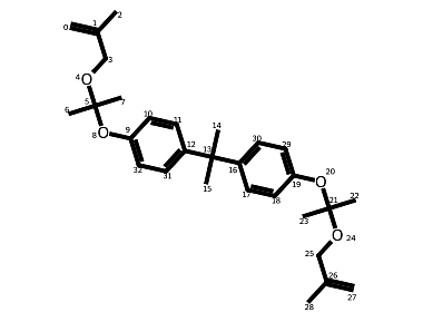 C=C(C)COC(C)(C)Oc1ccc(C(C)(C)c2ccc(OC(C)(C)OCC(=C)C)cc2)cc1